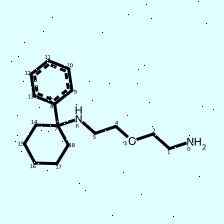 NCCOCCNC1(c2ccccc2)CCCCC1